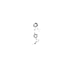 O=C(NCc1ccc(-c2nnc(C(F)F)o2)cc1F)Nc1ccccc1